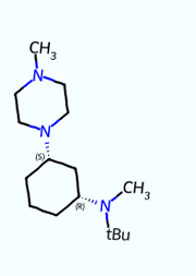 CN1CCN([C@H]2CCC[C@@H](N(C)C(C)(C)C)C2)CC1